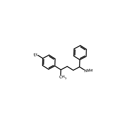 CCc1ccc(C(C)CCC(NC)c2ccccc2)cc1